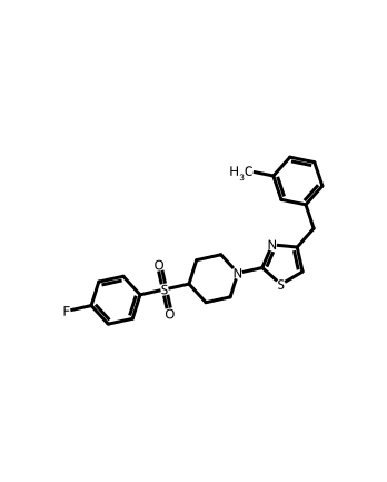 Cc1cccc(Cc2csc(N3CCC(S(=O)(=O)c4ccc(F)cc4)CC3)n2)c1